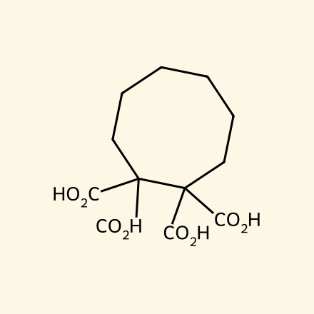 O=C(O)C1(C(=O)O)CCCCCCC1(C(=O)O)C(=O)O